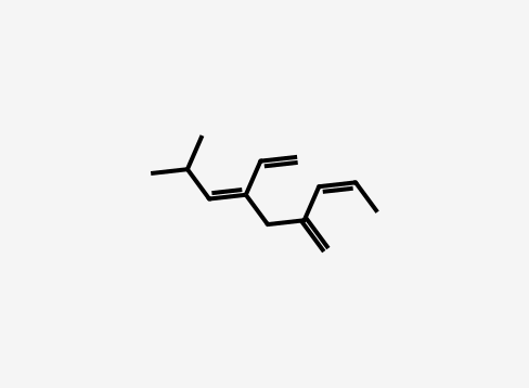 C=C/C(=C\C(C)C)CC(=C)/C=C\C